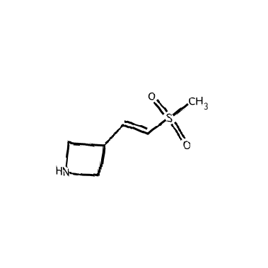 CS(=O)(=O)/C=C/C1CNC1